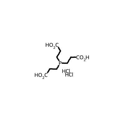 Cl.Cl.O=C(O)CCP(CCC(=O)O)CCC(=O)O